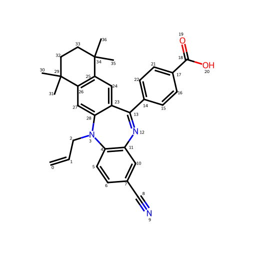 C=CCN1c2ccc(C#N)cc2N=C(c2ccc(C(=O)O)cc2)c2cc3c(cc21)C(C)(C)CCC3(C)C